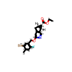 CCOC(=O)[C@H]1[C@@H]2Cc3cc(OCc4cc(Br)c(C)cc4F)ncc3[C@@H]21